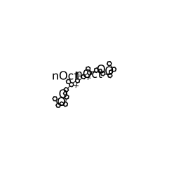 CCCCCCCCC1(CCCCCCCC)c2cc3c(cc2-c2cc4c(cc21)-c1c(cc(-c2ccc5oc6cc(-c7cccc8c7oc7c(-c9ccccc9)cccc78)ccc6c5c2)c2ccccc12)C4(C)C)C(C)(C)c1cc(-c2ccc4oc5cc(-c6cccc7c6oc6c(-c8ccccc8)cccc67)ccc5c4c2)c2ccccc2c1-3